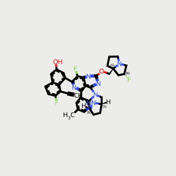 C#Cc1c(F)ccc2cc(O)cc(-c3nc(-c4cncc(C)c4)c4c(N5C[C@H]6CC[C@@H](C5)N6)nc(OC[C@@]56CCCN5C[C@H](F)C6)nc4c3F)c12